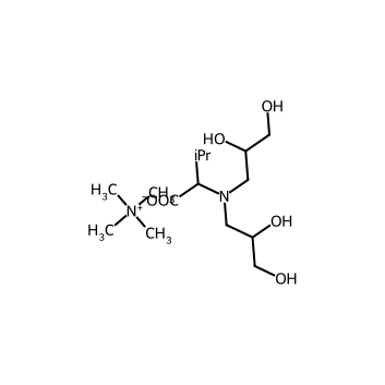 CC(C)C(C(=O)[O-])N(CC(O)CO)CC(O)CO.C[N+](C)(C)C